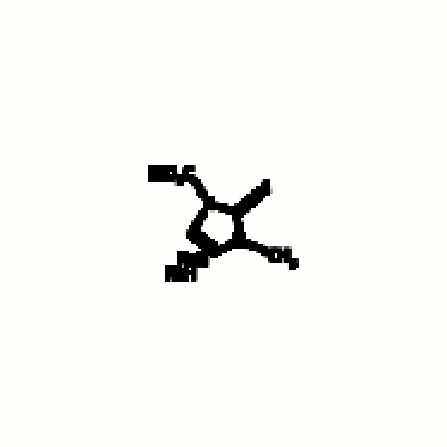 CCOC(=O)n1ccn(C)c1=S.[NaH].[NaH]